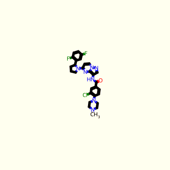 CN1CCN(c2ccc(C(=O)Nc3cnn4ccc(N5CCCC5c5cc(F)ccc5F)nc34)cc2Cl)CC1